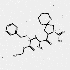 CCOC(=O)[C@H](CCc1ccccc1)NC(C)C(=O)N1CC2(C[C@H]1C(=O)O)SCCCS2